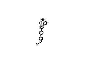 C[C@H]1C[C@@H](C(N)=O)N(c2cc(-c3ccc(N4CCN(CC#N)CC4)cc3)sn2)C1